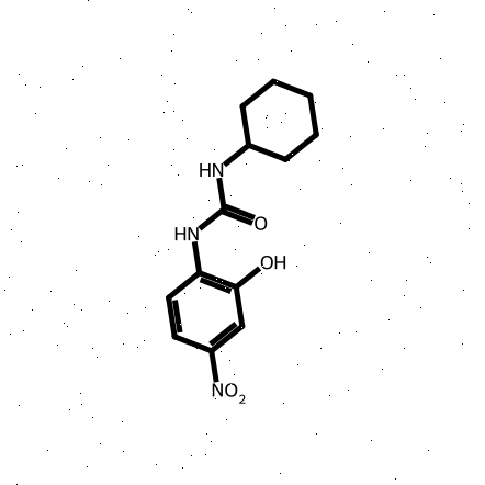 O=C(Nc1ccc([N+](=O)[O-])cc1O)NC1CCCCC1